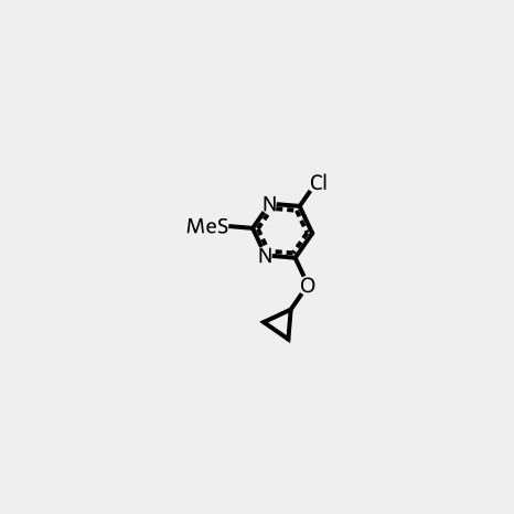 CSc1nc(Cl)cc(OC2CC2)n1